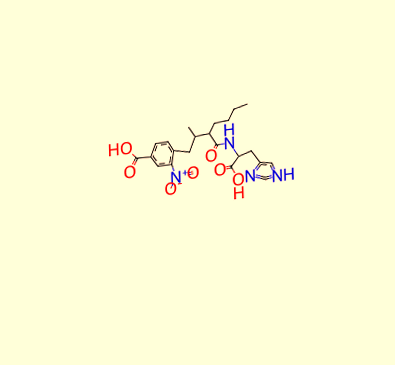 CCCCC(C(=O)NC(Cc1c[nH]cn1)C(=O)O)C(C)Cc1ccc(C(=O)O)cc1[N+](=O)[O-]